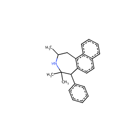 CC1Cc2c(ccc3ccccc23)C(c2ccccc2)C(C)(C)N1